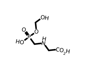 O=C(O)CNCP(=O)(O)OCO